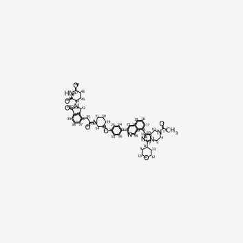 CC(=O)N1CCn2c(C3CCOCC3)nc(-c3cccc4cc(-c5ccc(O[C@H]6CCCN(C(=O)Cc7cccc8c7CN(C7CCC(=O)NC7=O)C8=O)C6)cc5)ncc34)c2C1